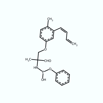 C=C/C=C\c1cc(OCC(C)(C=O)NP(O)Oc2ccccc2)ccc1C